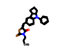 O=CCCN1C(=O)/C(=C\c2ccc3c(c2)C2CCCC2N3c2ccccc2)SC1=S